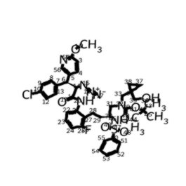 COc1ccc([C@H](c2ccc(Cl)cc2)C(N=[N+]=[N-])C(=O)Nc2cccc(F)c2CC[C@@H](CN(CC2(CO)CC2)C(=O)OC(C)(C)C)NS(=O)(=O)c2ccccc2)cn1